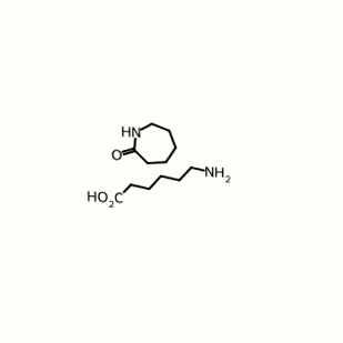 NCCCCCC(=O)O.O=C1CCCCCN1